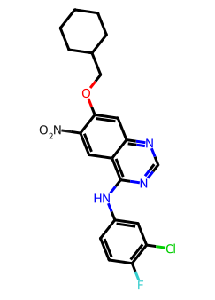 O=[N+]([O-])c1cc2c(Nc3ccc(F)c(Cl)c3)ncnc2cc1OCC1CCCCC1